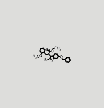 CCOC(=O)C(Cc1c(Br)cccc1OC)c1c(Br)sc2cc(OCc3ccccc3)ccc12